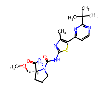 COC[C@@]1(C(N)=O)CCCN1C(=O)Nc1nc(C)c(-c2ccnc(C(C)(C)C)n2)s1